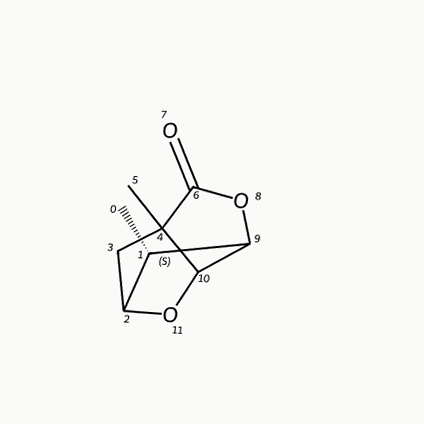 C[C@H]1C2CC3(C)C(=O)OC1C3O2